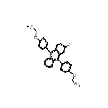 CCOc1ccc(-c2c3ccccc3c(-c3ccc(OCC)cc3)c3cc(F)ccc23)cc1